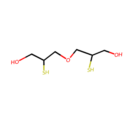 OCC(S)COCC(S)CO